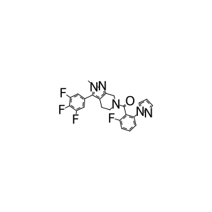 Cn1nc2c(c1-c1cc(F)c(F)c(F)c1)CCN(C(=O)c1c(F)cccc1-n1cccn1)C2